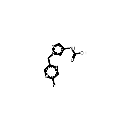 O=C(O)Nc1cnn(Cc2cnc(Cl)cn2)c1